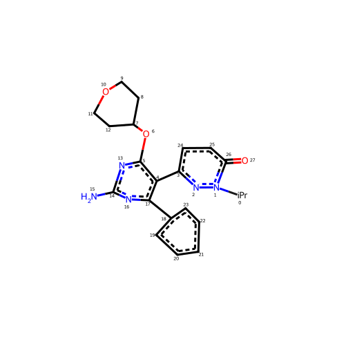 CC(C)n1nc(-c2c(OC3CCOCC3)nc(N)nc2-c2ccccc2)ccc1=O